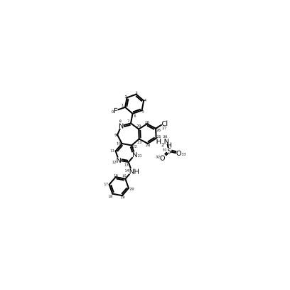 Fc1ccccc1C1=NCc2cnc(Nc3ccccc3)nc2-c2ccc(Cl)cc21.N[SH](=O)=O